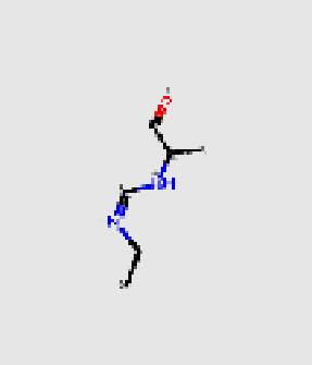 CC/N=C\NC(C)C=O